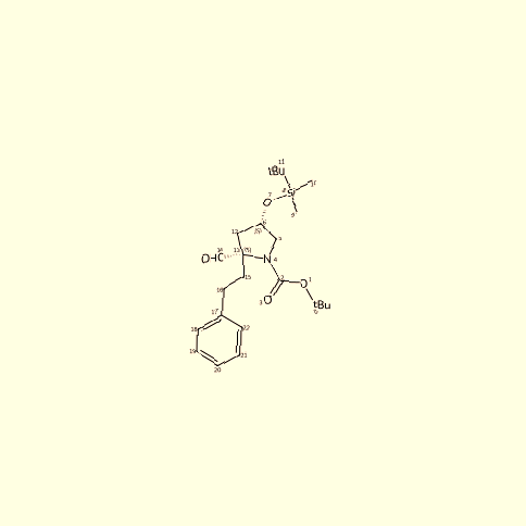 CC(C)(C)OC(=O)N1C[C@@H](O[Si](C)(C)C(C)(C)C)C[C@]1(C=O)CCc1ccccc1